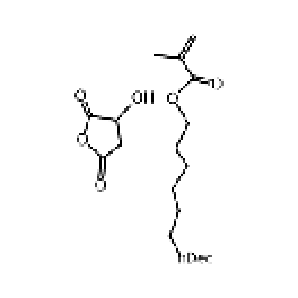 C=C(C)C(=O)OCCCCCCCCCCCCCCCC.O=C1CC(O)C(=O)O1